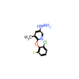 Cc1cc(NN)cnc1Oc1c(F)cccc1Cl